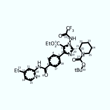 CCOC(=O)c1c(-c2ccc(C(=O)Nc3cc(CC)ccn3)cc2)nc([C@@H]2CCCCN2C(=O)OC(C)(C)C)n1NC(=O)C(F)(F)F